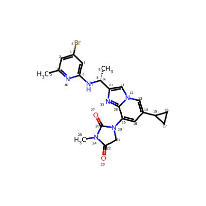 Cc1cc(Br)cc(N[C@H](C)c2cn3cc(C4CC4)cc(N4CC(=O)N(C)C4=O)c3n2)n1